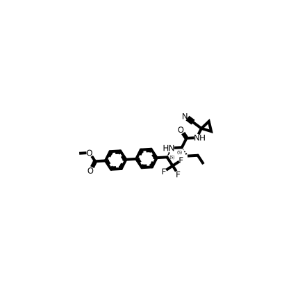 CCC[C@H](N[C@@H](c1ccc(-c2ccc(C(=O)OC)cc2)cc1)C(F)(F)F)C(=O)NC1(C#N)CC1